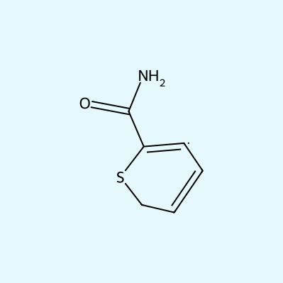 NC(=O)C1=[C]C=CCS1